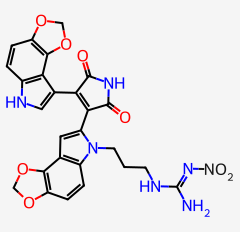 NC(=N[N+](=O)[O-])NCCCn1c(C2=C(c3c[nH]c4ccc5c(c34)OCO5)C(=O)NC2=O)cc2c3c(ccc21)OCO3